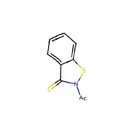 CC(=O)n1sc2ccccc2c1=S